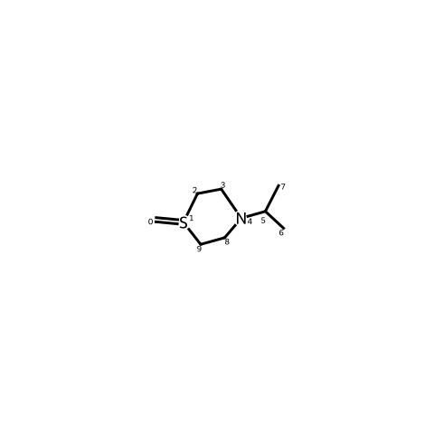 C=S1CCN(C(C)C)CC1